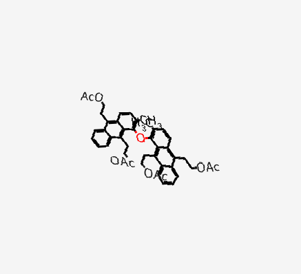 CC(=O)OCCc1c2ccccc2c(CCOC(C)=O)c2c(Oc3c(C)ccc4c(CCOC(C)=O)c5ccccc5c(CCOC(C)=O)c34)c(C)ccc12